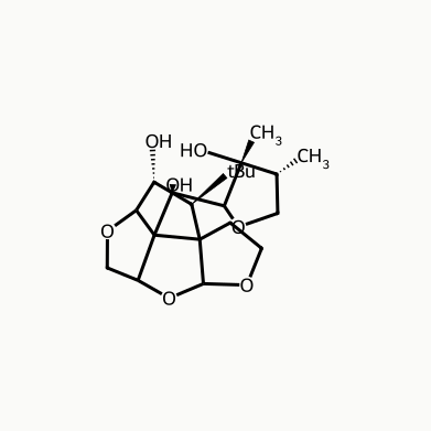 C[C@@H]1COC([C@H](O)C23C4COC2[C@H](O)[C@@H](C(C)(C)C)C32CCOC2O4)[C@]1(C)O